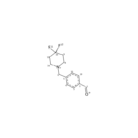 O=Cc1ccc(CN2CCC(F)(F)CC2)cc1